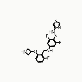 Fc1cccc(OC2CNC2)c1CNc1cc(F)c(SNc2cscn2)c(F)c1